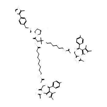 Cc1ncsc1-c1ccc(CNC(=O)[C@@H]2C[C@@H](O)CN2C(=O)[C@@H](NC(=O)CCCCCCCCNC(=O)C[C@@H]2N=C(c3ccc(Cl)cc3)c3c(sc(C)c3C)-n3c(C)nnc32)C(C)(C)SCCCCCCNC(=O)C[C@@H]2N=C(c3ccc(Cl)cc3)c3c(sc(C)c3C)-n3c(C)nnc32)cc1